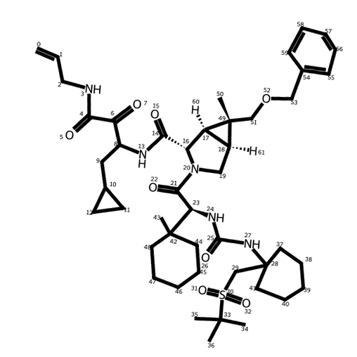 C=CCNC(=O)C(=O)C(CC1CC1)NC(=O)[C@@H]1[C@@H]2[C@H](CN1C(=O)[C@@H](NC(=O)NC1(CS(=O)(=O)C(C)(C)C)CCCCC1)C1(C)CCCCC1)[C@@]2(C)COCc1ccccc1